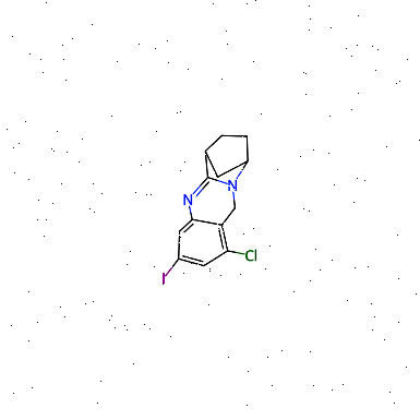 Clc1cc(I)cc2c1CN1C(=N2)C2CCC1C2